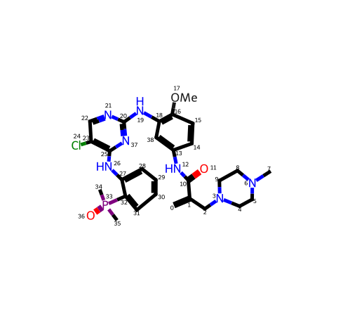 C=C(CN1CCN(C)CC1)C(=O)Nc1ccc(OC)c(Nc2ncc(Cl)c(Nc3ccccc3P(C)(C)=O)n2)c1